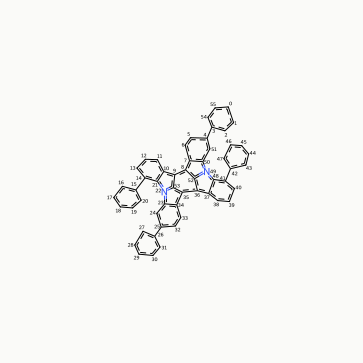 c1ccc(-c2ccc3c4c5c6cccc(-c7ccccc7)c6n6c7cc(-c8ccccc8)ccc7c(c7c8cccc(-c9ccccc9)c8n(c3c2)c47)c56)cc1